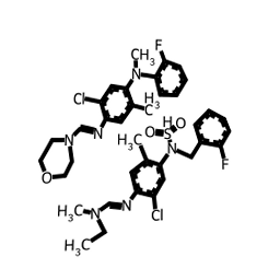 CCN(C)C=Nc1cc(C)c(N(Cc2ccccc2F)[SH](=O)=O)cc1Cl.Cc1cc(N=CN2CCOCC2)c(Cl)cc1N(C)c1ccccc1F